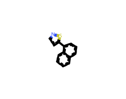 c1ccc2c(-c3ccns3)cccc2c1